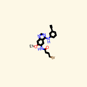 C#Cc1cccc(Nc2ncnc3cc(OCC)c(NC(=O)C=CCBr)cc23)c1